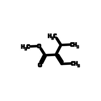 C/C=C(/C(=O)OC)C(C)C